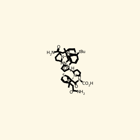 CC(C)(C)c1ccc(N2[C@@H](C3CCCN3[C@@]3(C(=O)NC(=O)O)c4nc(cs4)C3(C)CC(N)=O)CC[C@@H]2C2CCCN2[C@@]2(C(=O)NC(=O)O)c3nc(cs3)C2(C)CC(N)=O)cc1